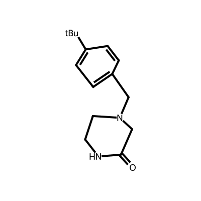 CC(C)(C)c1ccc(CN2CCNC(=O)C2)cc1